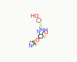 CN1CC[C@H](COc2cc(F)c3c(=O)[nH]c(CS[C@H]4CC[C@H](O)CC4)nc3c2)[C@@H](F)C1